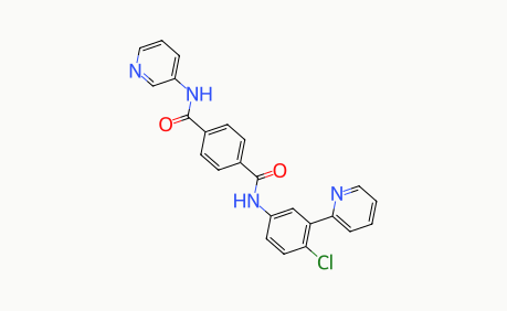 O=C(Nc1cccnc1)c1ccc(C(=O)Nc2ccc(Cl)c(-c3ccccn3)c2)cc1